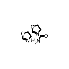 C1=NCCO1.C1=NCCO1.NC=O